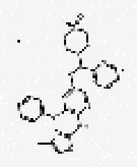 Cc1csc(Nc2ncc(SC(c3ccccn3)C3CCS(=O)(=O)CC3)cc2Oc2ccccc2)n1